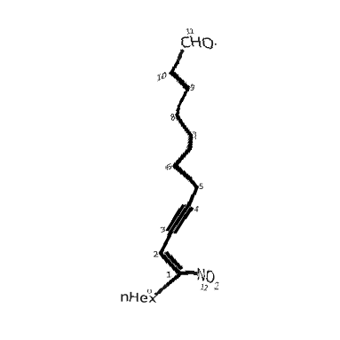 CCCCCC/C(=C/C#CCCCCCC[C]=O)[N+](=O)[O-]